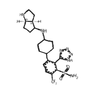 NS(=O)(=O)c1c(C(F)(F)F)ccc(C2CCC(NC3CC[C@H]4NCC[C@@H]34)CC2)c1-c1nnn[nH]1